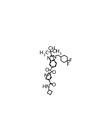 CC(C)(C)c1nc2cc(S(=O)(=O)n3cc(C(=O)NC4CCC4)cn3)ccc2n1CC1CCC(F)(F)CC1